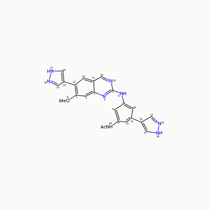 COc1cc2nc(Nc3cc(NC(C)=O)cc(-c4cn[nH]c4)c3)ncc2cc1-c1cn[nH]c1